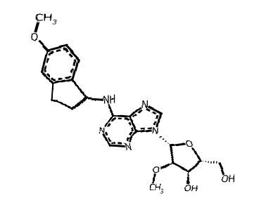 COc1ccc2c(c1)CCC2Nc1ncnc2c1ncn2[C@@H]1O[C@H](CO)[C@@H](O)[C@H]1OC